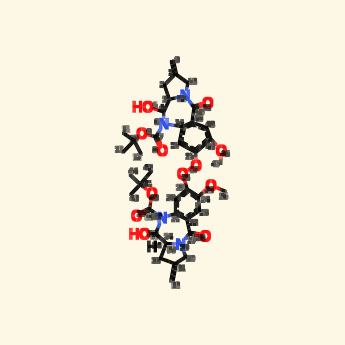 C=C1CC2C(O)N(C(=O)OC(C)(C)C)c3cc(OOc4cc5c(cc4OC)C(=O)N4CC(=C)C[C@H]4C(O)N5C(=O)OC(C)(C)C)c(OC)cc3C(=O)N2C1